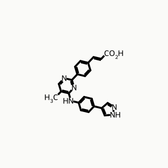 Cc1cnc(-c2ccc(C=CC(=O)O)cc2)nc1Nc1ccc(-c2cn[nH]c2)cc1